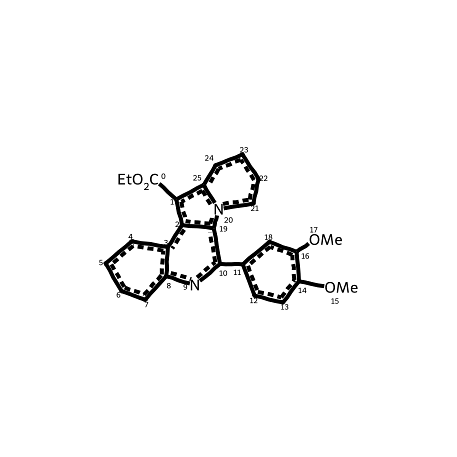 CCOC(=O)c1c2c3ccccc3nc(-c3ccc(OC)c(OC)c3)c2n2ccccc12